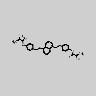 C=C(C)C(=O)Oc1ccc(CCc2cccc3c(CCc4ccc(OC(=O)C(=C)C)cc4)cccc23)cc1